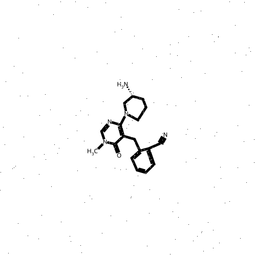 Cn1cnc(N2CCC[C@@H](N)C2)c(Cc2ccccc2C#N)c1=O